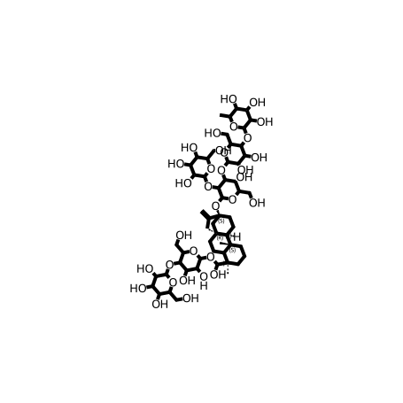 C=C1C[C@@]23CCC4[C@](C)(C(O)OC5OC(CO)C(OC6OC(CO)C(O)C(O)C6O)C(O)C5O)CCC[C@@]4(C)[C@@H]2CC[C@]1(OC1OC(CO)C(O)C(OC2OC(CO)C(OC4OC(C)C(O)C(O)C4O)C(O)C2O)C1OC1OC(CO)C(O)C(O)C1O)C3